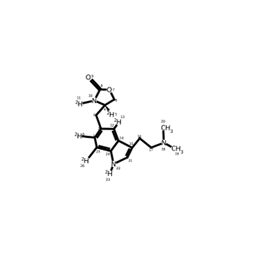 [2H]c1c(C[C@@]2([2H])COC(=O)N2[2H])c([2H])c2c(CCN(C)C)cn([2H])c2c1[2H]